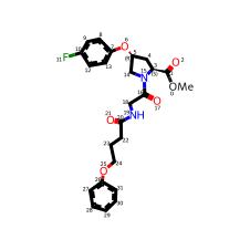 COC(=O)[C@@H]1C[C@@H](Oc2ccc(F)cc2)CN1C(=O)CNC(=O)CCCOc1ccccc1